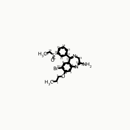 CCCOc1cc2c(cc1Br)C(c1cccc([S+]([O-])CC)c1)=NCC(N)=N2